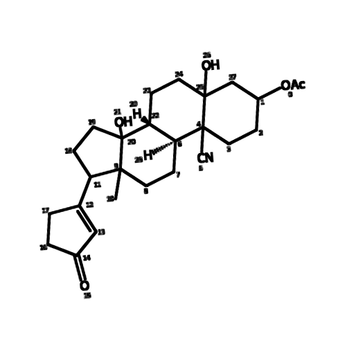 CC(=O)OC1CCC2(C#N)[C@H]3CCC4(C)C(C5=CC(=O)CC5)CCC4(O)[C@@H]3CCC2(O)C1